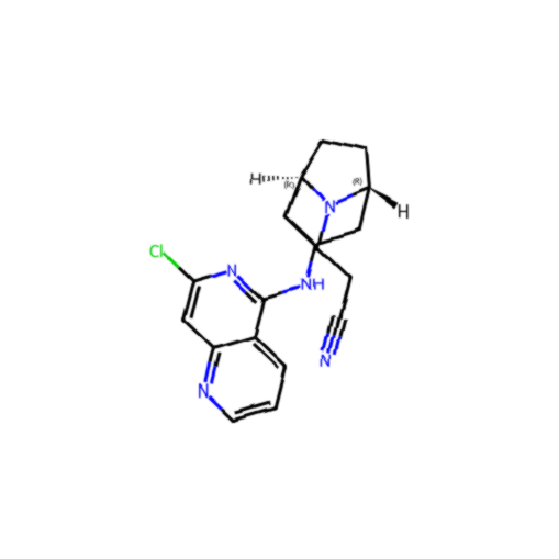 N#CCCN1[C@@H]2CC[C@@H]1CC(Nc1nc(Cl)cc3ncccc13)C2